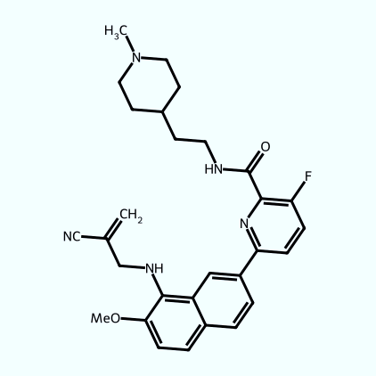 C=C(C#N)CNc1c(OC)ccc2ccc(-c3ccc(F)c(C(=O)NCCC4CCN(C)CC4)n3)cc12